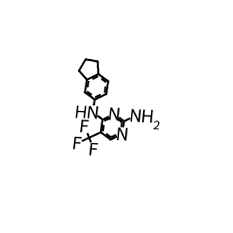 Nc1ncc(C(F)(F)F)c(Nc2ccc3c(c2)CCC3)n1